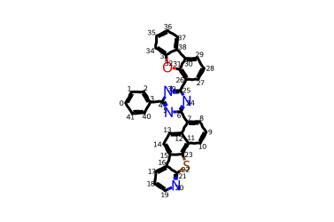 c1ccc(-c2nc(-c3cccc4c3ccc3c5cccnc5sc43)nc(-c3cccc4c3oc3ccccc34)n2)cc1